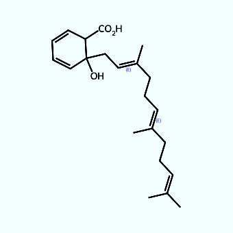 CC(C)=CCC/C(C)=C/CC/C(C)=C/CC1(O)C=CC=CC1C(=O)O